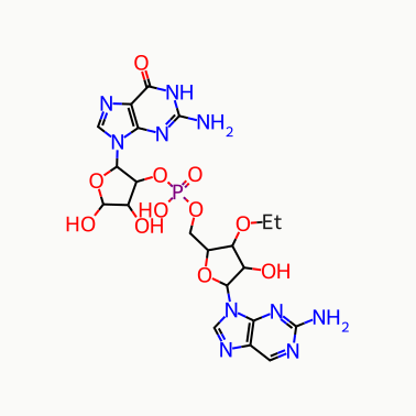 CCOC1C(COP(=O)(O)OC2C(O)C(O)OC2n2cnc3c(=O)[nH]c(N)nc32)OC(n2cnc3cnc(N)nc32)C1O